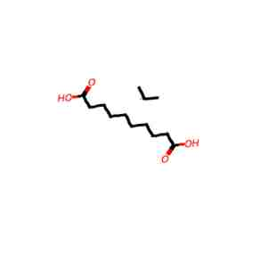 C[CH]C.O=C(O)CCCCCCCCC(=O)O